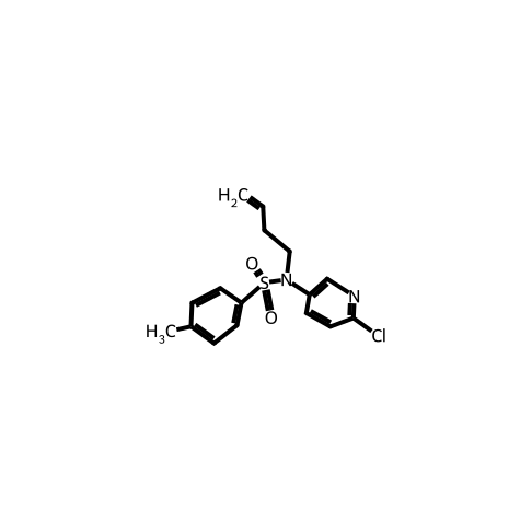 C=CCCN(c1ccc(Cl)nc1)S(=O)(=O)c1ccc(C)cc1